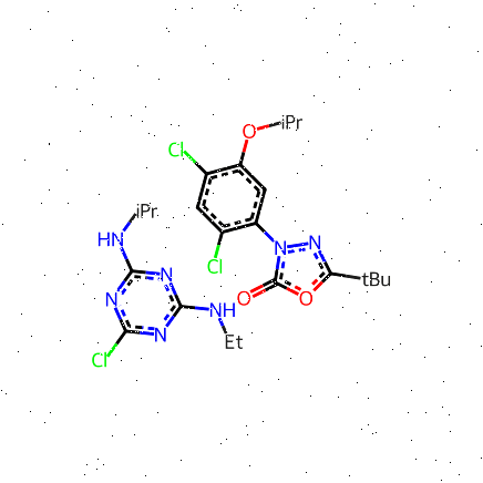 CC(C)Oc1cc(-n2nc(C(C)(C)C)oc2=O)c(Cl)cc1Cl.CCNc1nc(Cl)nc(NC(C)C)n1